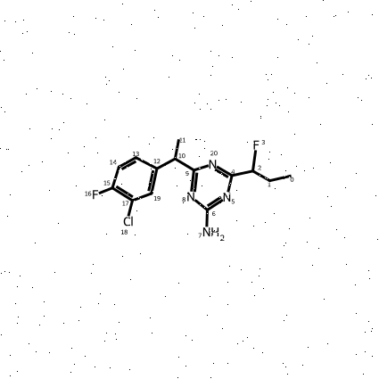 CCC(F)c1nc(N)nc(C(C)c2ccc(F)c(Cl)c2)n1